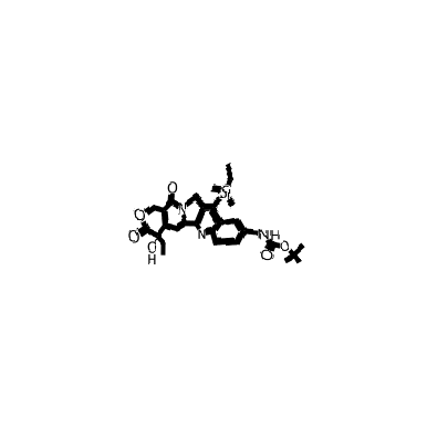 CC[C@@]1(O)C(=O)OCc2c1cc1n(c2=O)Cc2c-1nc1ccc(NC(=O)OC(C)(C)C)cc1c2[Si](C)(C)CC